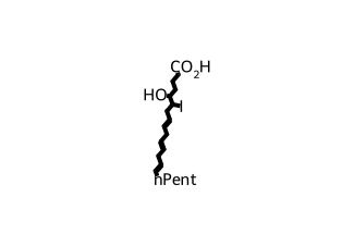 CCCCC/C=C/C/C=C/C/C=C/CC(I)C(O)CCCC(=O)O